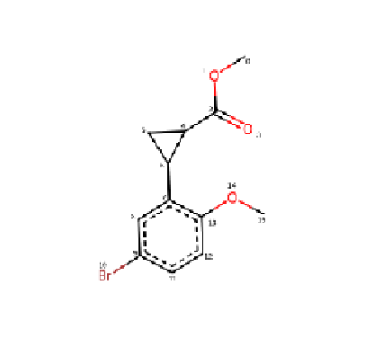 COC(=O)C1CC1c1cc(Br)ccc1OC